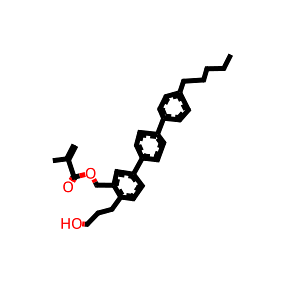 C=C(C)C(=O)OCc1cc(-c2ccc(-c3ccc(CCCCC)cc3)cc2)ccc1CCCO